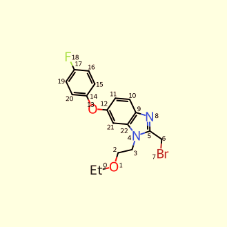 CCOCCn1c(CBr)nc2ccc(Oc3ccc(F)cc3)cc21